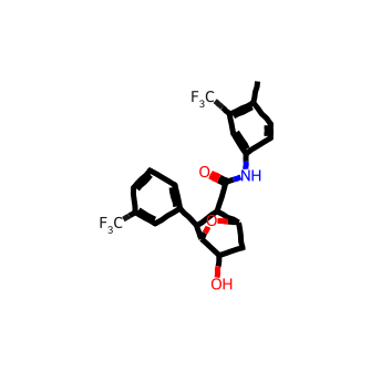 Cc1ccc(NC(=O)C2C3CC(O)C(O3)C2c2cccc(C(F)(F)F)c2)cc1C(F)(F)F